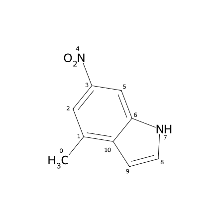 Cc1cc([N+](=O)[O-])cc2[nH]ccc12